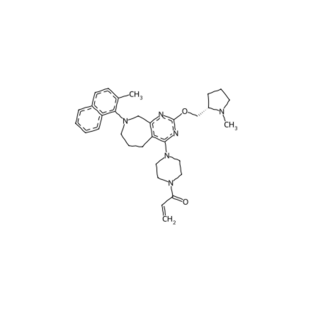 C=CC(=O)N1CCN(c2nc(OC[C@@H]3CCCN3C)nc3c2CCCN(c2c(C)ccc4ccccc24)C3)CC1